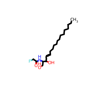 CCCCCCCCCCCCCC=CC(O)C(CO)NC(=O)CF